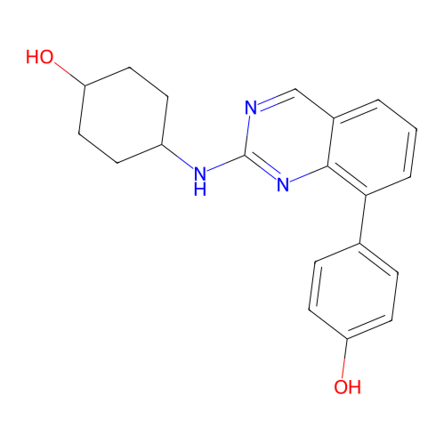 Oc1ccc(-c2cccc3cnc(NC4CCC(O)CC4)nc23)cc1